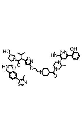 CNc1nnc(-c2ccccc2O)cc1N1CCN(C(=O)C2CCN(CCOc3cc([C@H](C(=O)N4C[C@H](O)C[C@H]4C(=O)N[C@@H](C)c4ccc(-c5scnc5C)cc4)C(C)C)on3)CC2)C[C@@H]1C